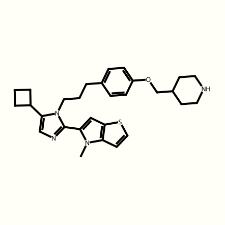 Cn1c(-c2ncc(C3CCC3)n2CCCc2ccc(OCC3CCNCC3)cc2)cc2sccc21